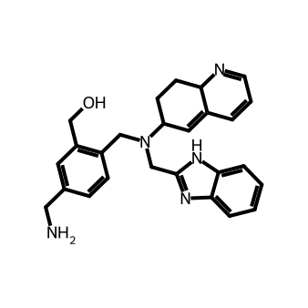 NCc1ccc(CN(Cc2nc3ccccc3[nH]2)C2C=C3C=CC=NC3CC2)c(CO)c1